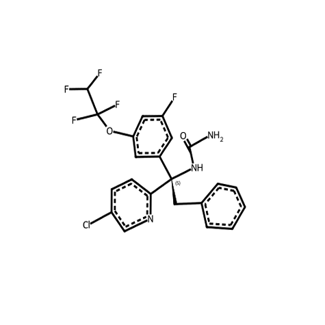 NC(=O)N[C@@](Cc1ccccc1)(c1cc(F)cc(OC(F)(F)C(F)F)c1)c1ccc(Cl)cn1